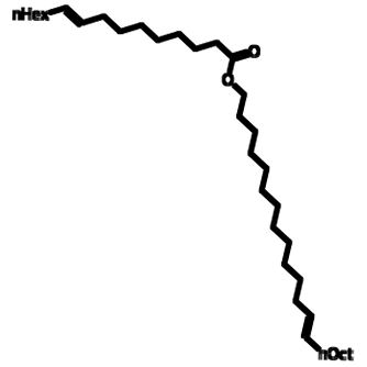 CCCCCCC=CCCCCCCCC(=O)OCCCCCCCCCCCCC=CCCCCCCCC